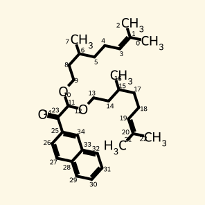 CC(C)=CCCC(C)CCOC(OCCC(C)CCC=C(C)C)C(=O)c1ccc2ccccc2c1